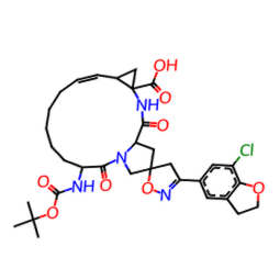 CC(C)(C)OC(=O)NC1CCCCC/C=C\C2CC2(C(=O)O)NC(=O)C2CC3(CC(c4cc(Cl)c5c(c4)CCO5)=NO3)CN2C1=O